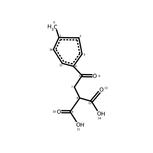 Cc1ccc(C(=O)CC(C(=O)O)C(=O)O)cc1